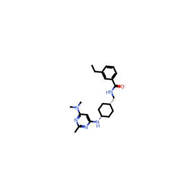 CCc1cccc(C(=O)NC[C@H]2CC[C@@H](Nc3cc(N(C)C)nc(C)n3)CC2)c1